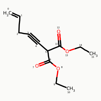 C=CCC#CC(C(=O)OCC)C(=O)OCC